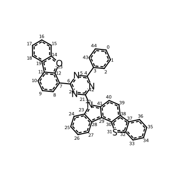 c1ccc(-c2nc(-c3cccc4c3oc3ccccc34)nc(-n3c4ccccc4c4c5sc6ccccc6c5ccc43)n2)cc1